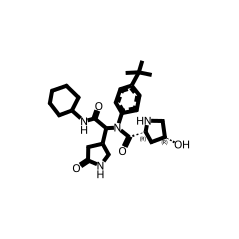 CC(C)(C)c1ccc(N(C(=O)[C@H]2C[C@@H](O)CN2)C(C(=O)NC2CCCCC2)C2CNC(=O)C2)cc1